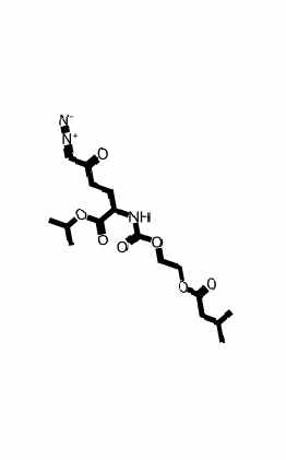 CC(C)CC(=O)OCCOC(=O)NC(CCC(=O)C=[N+]=[N-])C(=O)OC(C)C